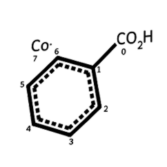 O=C(O)c1ccccc1.[Co]